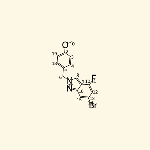 COc1ccc(Cn2cc3c(F)cc(Br)cc3n2)cc1